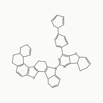 C1=CCC2C(=C1)N(c1nc(-c3ccc(C4C=CC=CC4)cc3)c3c(n1)C1CCC=CC1O3)C1=C2c2oc3ccc4c(c3c2CC1)C1C=CCCC1CC4